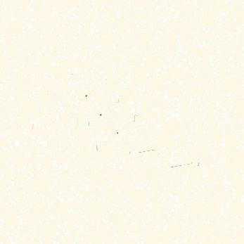 CCCOC(F)(F)C(F)(F)C(F)(F)[Si](C)(Cl)Cl